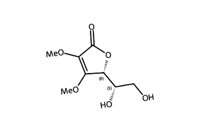 [CH2-][OH+]C1=C([OH+][CH2-])[C@@H]([C@@H](O)CO)OC1=O